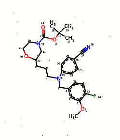 COc1cc(CN(CCCC2CN(C(=O)OC(C)(C)C)CCO2)c2ccc(C#N)cc2)ccc1F